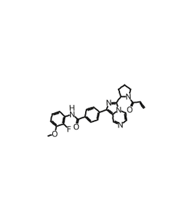 C=CC(=O)N1CCCC1c1nc(-c2ccc(C(=O)Nc3cccc(OC)c3F)cc2)c2cnccn12